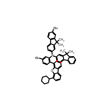 CC(C)(C)c1ccc(-c2cccc3c2oc2c(C4CCCCC4)cccc23)c(N(c2ccc3c(c2)C(C)(C)c2ccccc2-3)c2ccc3c(c2)C(C)(C)c2cc(C(C)(C)C)ccc2-3)c1